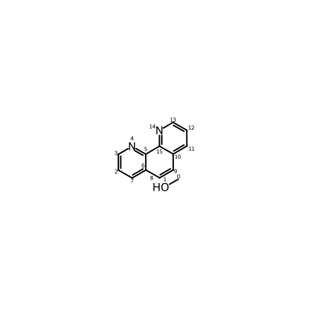 CO.c1cnc2c(c1)ccc1cccnc12